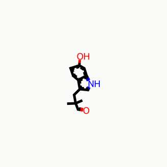 CC(C)(C=O)Cc1c[nH]c2cc(O)ccc12